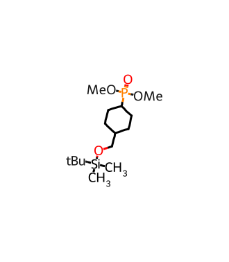 COP(=O)(OC)C1CCC(CO[Si](C)(C)C(C)(C)C)CC1